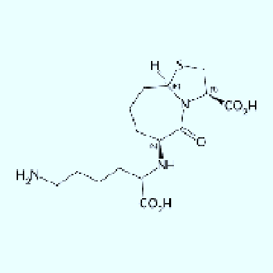 NCCCCC(N[C@H]1CCC[C@H]2SC[C@@H](C(=O)O)N2C1=O)C(=O)O